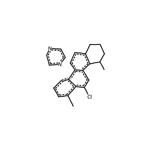 Cc1cccc2c1c(Cl)cc1c3c(ccc12)CCCC3C.c1cnccn1